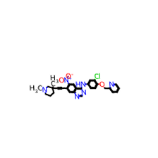 CN1CCCC(C)(C#Cc2cc3ncnc(Nc4ccc(OCc5ccccn5)c(Cl)c4)c3cc2[N+](=O)[O-])C1